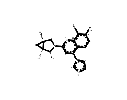 C[C@@H]1[C@H]2C[C@H]2CN1c1cc(-n2ccnc2)c2ccc(Cl)c(Cl)c2n1